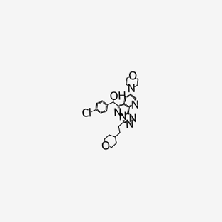 OC(c1ccc(Cl)cc1)c1nn2c(CCC3CCOCC3)nnc2c2ncc(N3CCOCC3)cc12